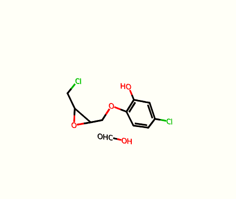 O=CO.Oc1cc(Cl)ccc1OCC1OC1CCl